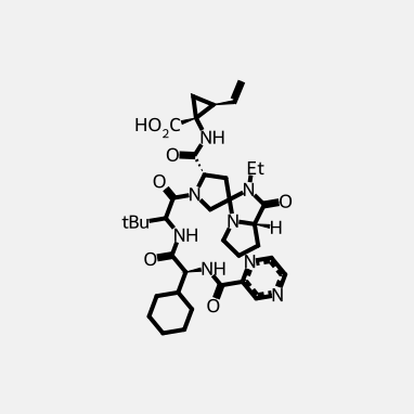 C=C[C@@H]1C[C@]1(NC(=O)[C@@H]1CC2(CN1C(=O)C(NC(=O)[C@@H](NC(=O)c1cnccn1)C1CCCCC1)C(C)(C)C)N(CC)C(=O)[C@@H]1CCCN12)C(=O)O